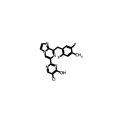 Cc1cc(F)c(Cc2nc(-c3ncc(Cl)c(O)n3)cn3ccnc23)cc1F